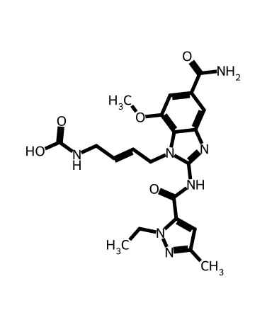 CCn1nc(C)cc1C(=O)Nc1nc2cc(C(N)=O)cc(OC)c2n1C/C=C/CNC(=O)O